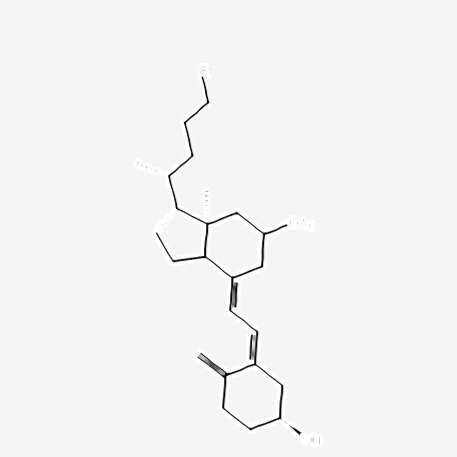 C=C1CC[C@H](O)C/C1=C/C=C1CC(OC(C)=O)C[C@@]2(C)C1CC[C@@H]2[C@H](C)CCCC(C)C